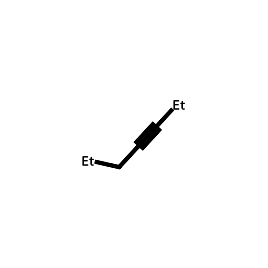 CCC#CCCC